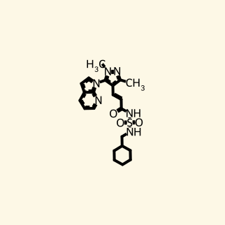 Cc1nn(C)c(-n2ccc3cccnc32)c1/C=C/C(=O)NS(=O)(=O)NCC1CCCCC1